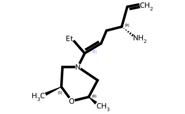 C=C[C@H](N)C/C=C(\CC)N1C[C@@H](C)O[C@@H](C)C1